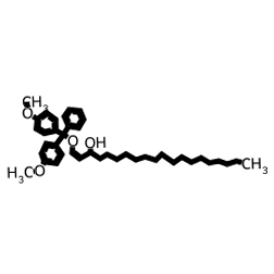 CCCCCCCCCCCCCCCCCC(O)/C=C\OC(c1ccccc1)(c1ccc(OC)cc1)c1ccc(OC)cc1